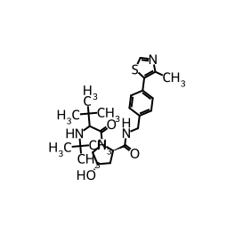 Cc1ncsc1-c1ccc(CNC(=O)[C@H]2C[C@H](O)CN2C(=O)C(NC(C)(C)C)C(C)(C)C)cc1